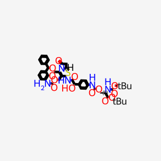 CC(C)(C)OC(=O)N[C@H](COC(=O)Nc1ccc(C(O)C(=O)NC2S[C@H]3CC(=O)N3C(C(=O)OC(c3ccccc3)c3ccccc3)=C2COC(N)=O)cc1)C(=O)OC(C)(C)C